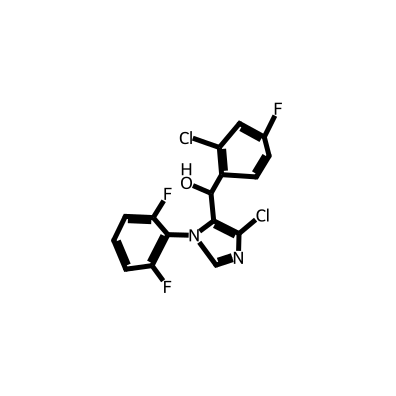 OC(c1ccc(F)cc1Cl)c1c(Cl)ncn1-c1c(F)cccc1F